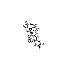 COc1ccc(CC2CC(CCO)(Cc3ccc(F)cc3)C(=O)N2)c(OC)c1OC